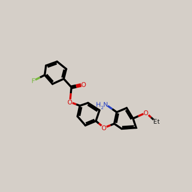 CCOc1ccc(Oc2ccc(OC(=O)c3cccc(F)c3)cc2)c(N)c1